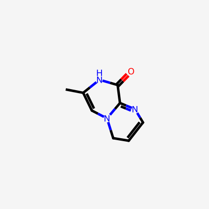 CC1=CN2CC=CN=C2C(=O)N1